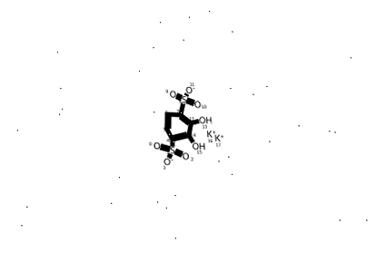 O=S(=O)([O-])c1ccc(S(=O)(=O)[O-])c(O)c1O.[K+].[K+]